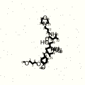 COCCCOc1cc(C[C@@H](C[C@H](N)[C@@H](O)C[C@H](C(=O)NCCCN2CCOCC2)C(C)C)C(C)C)ccc1OC.Cl.Cl